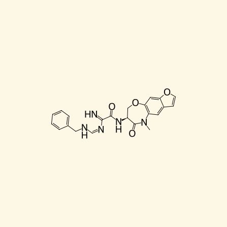 CN1C(=O)[C@@H](NC(=O)C(=N)/N=C\NCc2ccccc2)COc2cc3occc3cc21